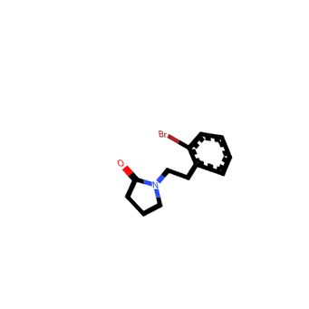 O=C1CCCN1CCc1ccccc1Br